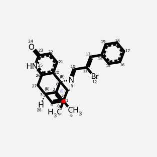 C/C=C1\[C@H]2C=C(C)C[C@]1(N=CC(Br)=Cc1ccccc1)c1ccc(=O)[nH]c1C2